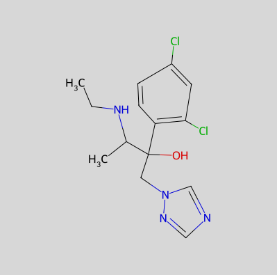 CCNC(C)C(O)(Cn1cncn1)c1ccc(Cl)cc1Cl